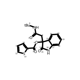 CC(C)(C)NC(=O)CC1(OC(=O)c2cccs2)C(=O)Nc2ccccc21